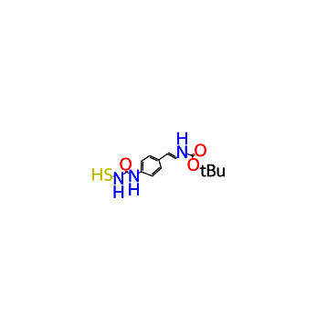 CC(C)(C)OC(=O)NC=Cc1ccc(NC(=O)NS)cc1